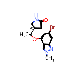 CC(Oc1cc(Br)cc2nn(C)cc12)[C@H]1CNC(=O)C1